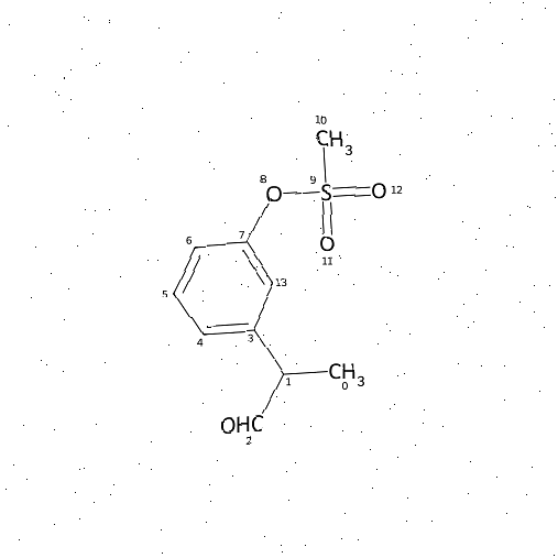 CC(C=O)c1cccc(OS(C)(=O)=O)c1